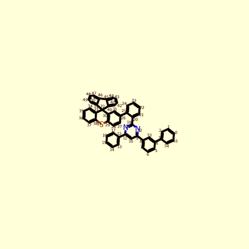 c1ccc(-c2cccc(-c3cc(-c4ccccc4)nc(-c4ccccc4-c4ccc5c(c4)C4(c6ccccc6S5)c5ccccc5-c5ccccc54)n3)c2)cc1